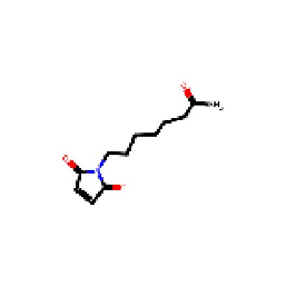 BC(=O)CCCCCCN1C(=O)C=CC1=O